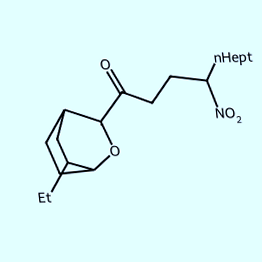 [CH2]CCCCCCC(CCC(=O)[C]1OC2CCC1CC2CC)[N+](=O)[O-]